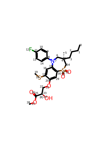 CCCC[C@]1(C)CN(c2ccc(F)cc2)c2cc(SC)c(OC[C@@H](O)C(=O)OC)cc2S(=O)(=O)C1